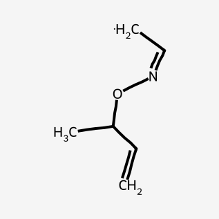 [CH2]/C=N\OC(C)C=C